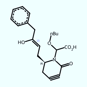 CCCCOC(C(=O)O)N1C(=O)C#CC[C@H]1C/C=C(\O)Cc1ccccc1